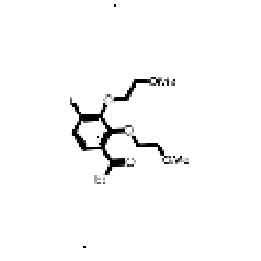 CCC(=O)c1ccc(I)c(OCCOC)c1OCCOC